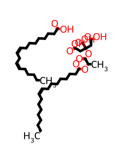 CCCCC/C=C\C/C=C\CCCCCCCC(=O)O.CCCCCCCC/C=C\CCCCCCCC(=O)OC(C)C(=O)OC(CC(=O)O)(CC(=O)O)C(=O)O